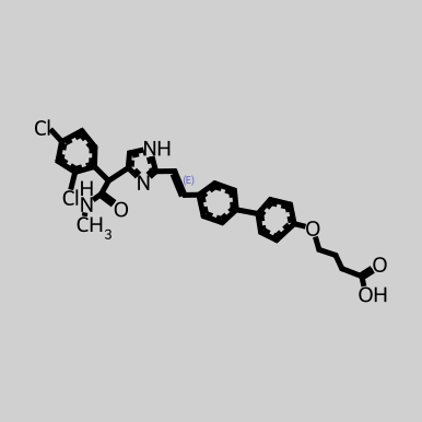 CNC(=O)C(c1c[nH]c(/C=C/c2ccc(-c3ccc(OCCCC(=O)O)cc3)cc2)n1)c1ccc(Cl)cc1Cl